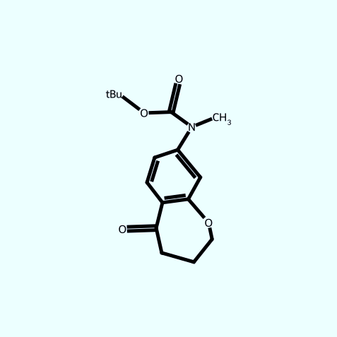 CN(C(=O)OC(C)(C)C)c1ccc2c(c1)OCCCC2=O